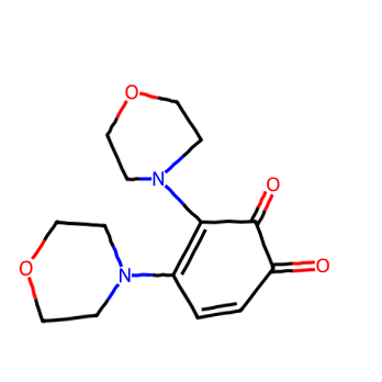 O=C1C=CC(N2CCOCC2)=C(N2CCOCC2)C1=O